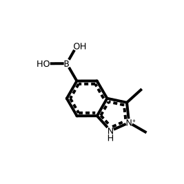 Cc1c2cc(B(O)O)ccc2[nH][n+]1C